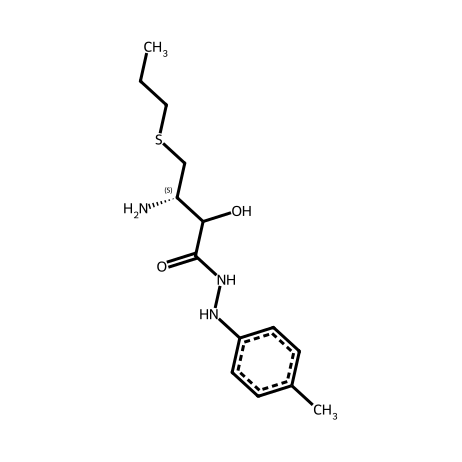 CCCSC[C@@H](N)C(O)C(=O)NNc1ccc(C)cc1